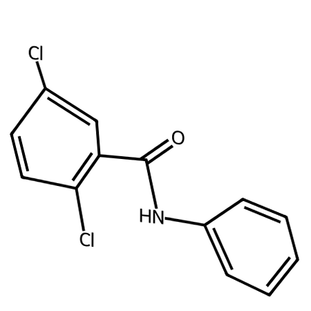 O=C(Nc1ccccc1)c1cc(Cl)ccc1Cl